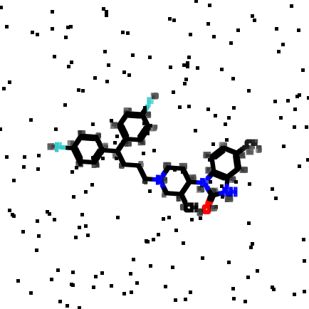 CC1CN(CCCC(c2ccc(F)cc2)c2ccc(F)cc2)CCC1n1c(=O)[nH]c2cc(C(F)(F)F)ccc21